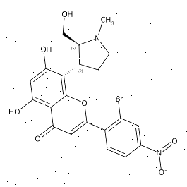 CN1CC[C@H](c2c(O)cc(O)c3c(=O)cc(-c4ccc([N+](=O)[O-])cc4Br)oc23)[C@H]1CO